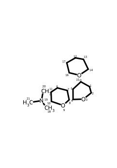 C1CCOCC1.C1CCOCC1.C1CCOCC1.CN(C)C